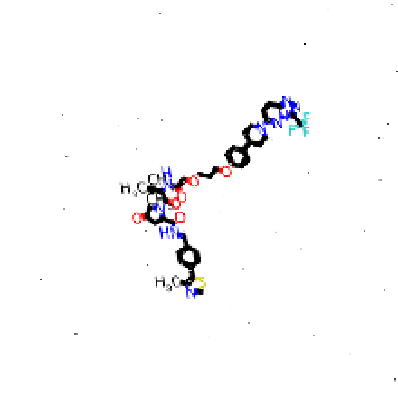 Cc1ncsc1-c1ccc(CNC(=O)C2CC(=O)CN2C(=O)C(NC(=O)COCCCOc2ccc(C3CCN(C4=Nn5c(nnc5C(F)(F)F)CC4)CC3)cc2)C(C)(C)C)cc1